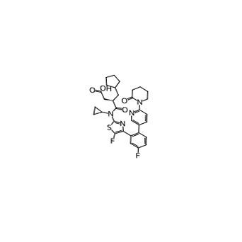 O=C(O)C[C@@H](CC1CCCC1)C(=O)N(c1nc(-c2cc(F)ccc2-c2ccc(N3CCCCC3=O)nc2)c(F)s1)C1CC1